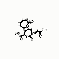 C=CC(=O)O.O=C1CCCCC(C(=O)O)O1.O=C1CCCCCO1